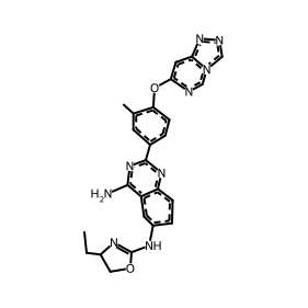 CCC1COC(Nc2ccc3nc(-c4ccc(Oc5cc6nncn6cn5)c(C)c4)nc(N)c3c2)=N1